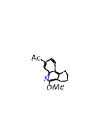 COc1nc2cc(C(C)=O)ccc2c2c1CCCC2